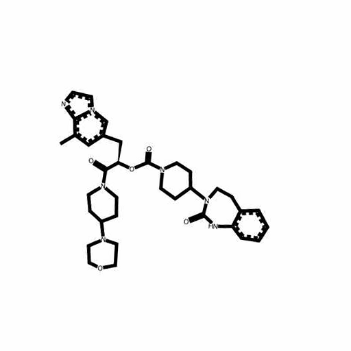 Cc1cc(C[C@@H](OC(=O)N2CCC(N3CCc4ccccc4NC3=O)CC2)C(=O)N2CCC(N3CCOCC3)CC2)cn2ccnc12